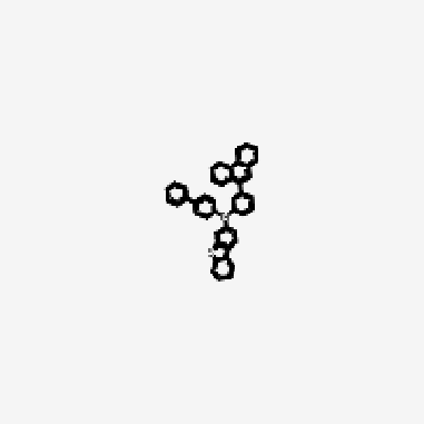 c1ccc(-c2ccc(N(c3cccc(-c4cc5ccccc5c5ccccc45)c3)c3ccc4c(c3)sc3ccccc34)cc2)cc1